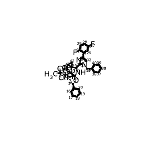 CC(C)(C)[Si](C)(C)OC1([C@@H](NC(=O)OCc2ccccc2)c2nc(-c3cc(F)ccc3F)cn2Cc2ccccc2)CC1